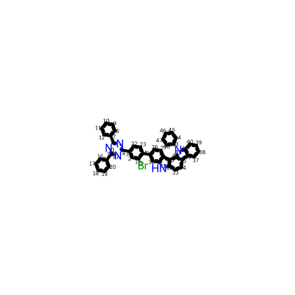 Brc1cc(-c2nc(-c3ccccc3)nc(-c3ccccc3)n2)ccc1-c1ccc2c(c1)[nH]c1ccc3c4ccccc4n(-c4ccccc4)c3c12